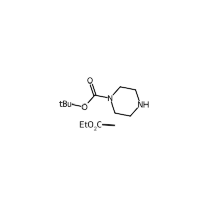 CC(C)(C)OC(=O)N1CCNCC1.CCOC(C)=O